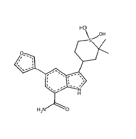 CC1(C)CC(c2c[nH]c3c(C(N)=O)cc(-c4ccoc4)cc23)CCS1(O)O